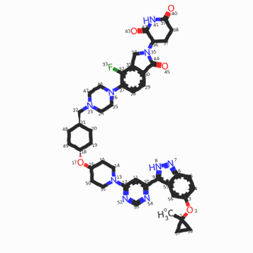 CC1(Oc2ccc3n[nH]c(-c4cc(N5CCC(O[C@H]6CC[C@H](CN7CCN(c8ccc9c(c8F)CN(C8CCC(=O)NC8=O)C9=O)CC7)CC6)CC5)ncn4)c3c2)CC1